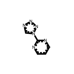 [c]1ccnc(-n2cnnn2)n1